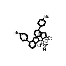 CCC1=Cc2c(-c3ccc(C(C)CC)cc3)cccc2[CH]1[Zr]([Cl])([Cl])([CH]1C(C(C)C)=Cc2c(-c3ccc(C(C)CC)cc3)cccc21)[SiH](C)C